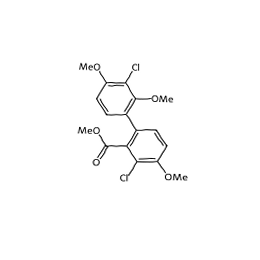 COC(=O)c1c(-c2ccc(OC)c(Cl)c2OC)ccc(OC)c1Cl